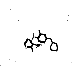 Cc1cc(CC2CCCCC2)ccc1Nc1ccnc(C)c1C#N